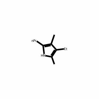 CCCc1[nH]c(C)c(CC)c1C